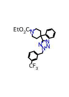 CCOC(=O)N1CCC(c2ccccc2)(c2nnn(Cc3cccc(C(F)(F)F)c3)n2)CC1